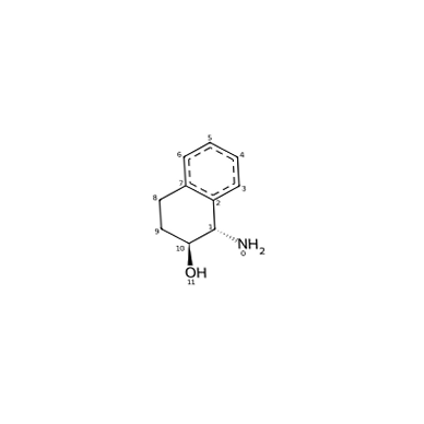 N[C@H]1c2ccccc2CC[C@@H]1O